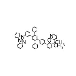 CC1(C)c2cccnc2Oc2c(-c3ccc(-c4cc(-c5ccccc5)c(-c5cccc(-n6c7ccccc7n7c8ccccc8nc67)c5)cc4-c4ccccc4)cc3)cccc21